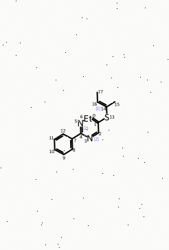 C=C(/C=N\C(=N/CC)c1ccccc1)S/C(C)=C/C